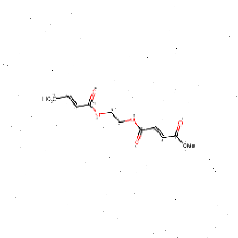 COC(=O)/C=C/C(=O)OCCOC(=O)C=CC(=O)O